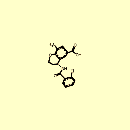 Cc1cc(C(=O)O)cc2c1OCC[C@H]2NC(=O)c1ccccc1Cl